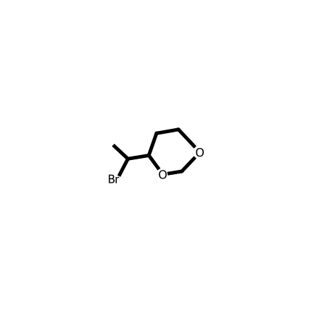 CC(Br)C1CCOCO1